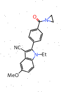 CCn1c(-c2ccc(C(=O)N3CC3)cc2)c(C#N)c2cc(OC)ccc21